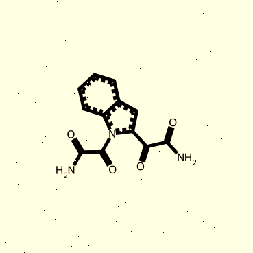 NC(=O)C(=O)c1cc2ccccc2n1C(=O)C(N)=O